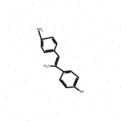 C/C(=C\c1ccc([N+](=O)[O-])cc1)c1ccc(S)cc1